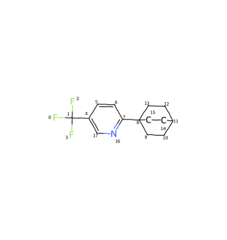 FC(F)(F)c1ccc(C23CCC(CC2)CC3)nc1